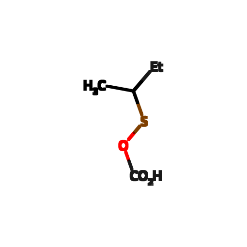 CCC(C)SOC(=O)O